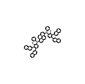 Fc1c(N(c2ccccc2)c2ccc3ccc4c(N(c5ccccc5)c5ccc(-c6ccc7ccccc7c6)c(-c6ccc7ccccc7c6)c5F)ccc5ccc2c3c54)ccc(-c2ccc3ccccc3c2)c1-c1ccc2ccccc2c1